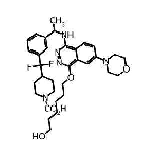 C[C@@H](Nc1nnc(OCCCCCCO)c2cc(N3CCOCC3)ccc12)c1cccc(C(F)(F)C2CCN(C(=O)O)CC2)c1